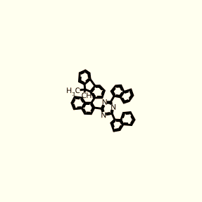 CC1(C)c2ccccc2-c2cccc(-c3c(-c4nc(-c5cccc6ccccc56)nc(-c5cccc6ccccc56)n4)ccc4ccccc34)c21